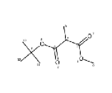 COC(=O)C(C)C(=O)OC(C)(C)C